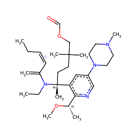 C=C(/C=C\CC)N(CC)[C@](C)(CCC(C)(C)COC=O)c1cc(N2CCN(C)CC2)cnc1[C@H](C)OC